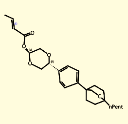 C/C=C/C(=O)O[C@H]1CO[C@H](c2ccc(C34CCC(CCCCC)(CC3)CC4)cc2)CO1